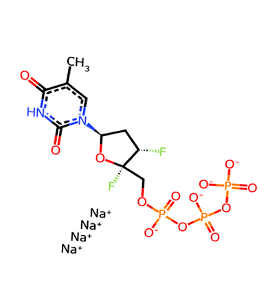 Cc1cn([C@H]2C[C@H](F)[C@@](F)(COP(=O)([O-])OP(=O)([O-])OP(=O)([O-])[O-])O2)c(=O)[nH]c1=O.[Na+].[Na+].[Na+].[Na+]